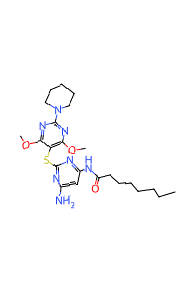 CCCCCCCC(=O)Nc1cc(N)nc(Sc2c(OC)nc(N3CCCCC3)nc2OC)n1